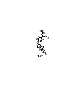 CCN(CCO)Cc1nc2cc(Oc3ccc(/C(N)=C/C=N)cc3)ccc2[nH]1